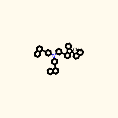 CC1(c2cccc3ccccc23)c2ccccc2-c2c(-c3cccc(N(c4ccc(-c5cccc6ccccc56)cc4)c4ccc(-c5cccc6ccccc56)cc4)c3)cccc21